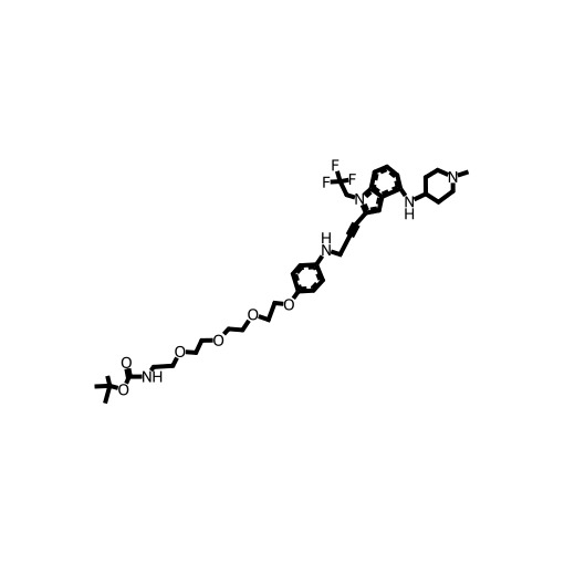 CN1CCC(Nc2cccc3c2cc(C#CCNc2ccc(OCCOCCOCCOCCNC(=O)OC(C)(C)C)cc2)n3CC(F)(F)F)CC1